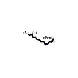 CCCCC/C=C\C/C=C\CCCCCCC(O)CC(C)(C)C